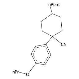 CCCCCC1CCC(C#N)(c2ccc(OCCC)cc2)CC1